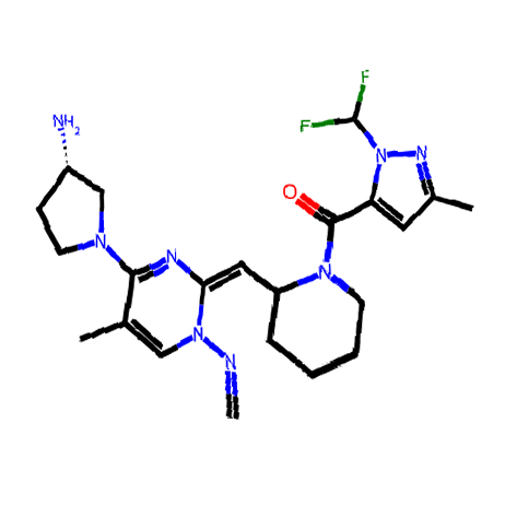 C=NN1C=C(C)C(N2CC[C@H](N)C2)=N/C1=C/C1CCCCN1C(=O)c1cc(C)nn1C(F)F